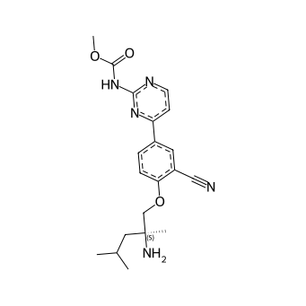 COC(=O)Nc1nccc(-c2ccc(OC[C@@](C)(N)CC(C)C)c(C#N)c2)n1